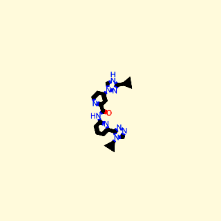 O=C(Nc1cccc(-c2nncn2C2CC2)n1)c1cc(N2CNC(C3CC3)=N2)ccn1